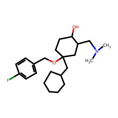 CN(C)CC1CC(CC2CCCCC2)(OCc2ccc(F)cc2)CCC1O